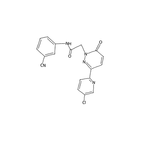 N#Cc1cccc(NC(=O)Cn2nc(-c3ccc(Cl)cn3)ccc2=O)c1